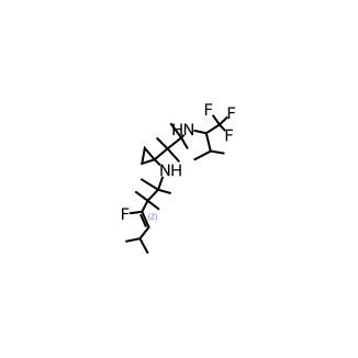 CC(C)/C=C(\F)C(C)(C)C(C)(C)NC1(C(C)(C)C(C)(C)NC(C(C)C)C(F)(F)F)CC1